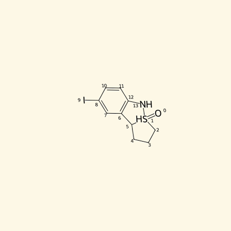 O=[SH]12CCCC1c1cc(I)ccc1N2